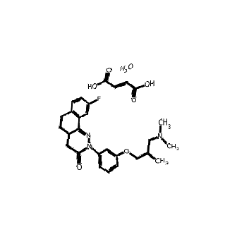 CC(COc1cccc(N2N=C3c4cc(F)ccc4CCC3CC2=O)c1)CN(C)C.O.O=C(O)C=CC(=O)O